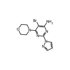 Nc1nc(-n2cccn2)nc(N2CCOCC2)c1Br